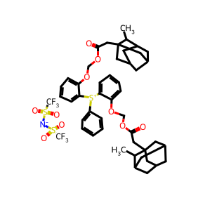 CC1C2CC3CC(C2)CC1(CC(=O)OCOc1ccccc1[S+](c1ccccc1)c1ccccc1OCOC(=O)CC12CC4CC(CC(C4)C1C)C2)C3.O=S(=O)([N-]S(=O)(=O)C(F)(F)F)C(F)(F)F